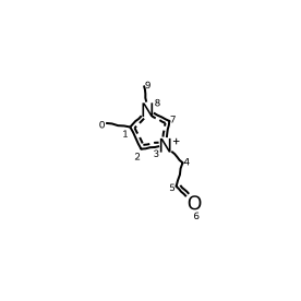 Cc1c[n+](CC=O)cn1C